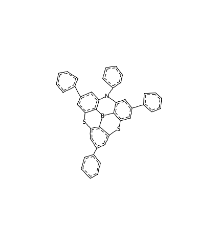 c1ccc(-c2cc3c4c(c2)Sc2cc(-c5ccccc5)cc5c2B4c2c(cc(-c4ccccc4)cc2N5c2ccccc2)S3)cc1